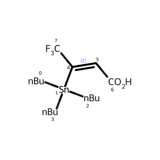 CCC[CH2][Sn]([CH2]CCC)([CH2]CCC)/[C](=C\C(=O)O)C(F)(F)F